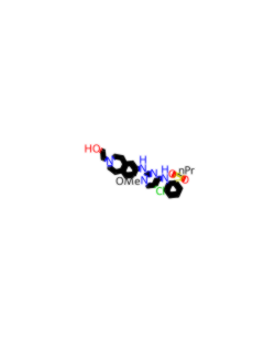 CCCS(=O)(=O)c1ccccc1Nc1nc(Nc2cc3c(cc2OC)CCN(CCO)CC3)ncc1Cl